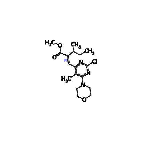 CCC(C)/C(=C\c1nc(Cl)nc(N2CCOCC2)c1C)C(=O)OC